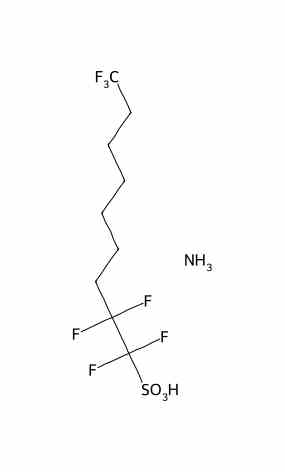 N.O=S(=O)(O)C(F)(F)C(F)(F)CCCCCCC(F)(F)F